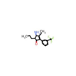 CCCC1C(=O)C(c2cccc(C(F)(F)F)c2)=C(CC)C1N